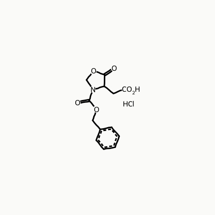 Cl.O=C(O)CC1C(=O)OCN1C(=O)OCc1ccccc1